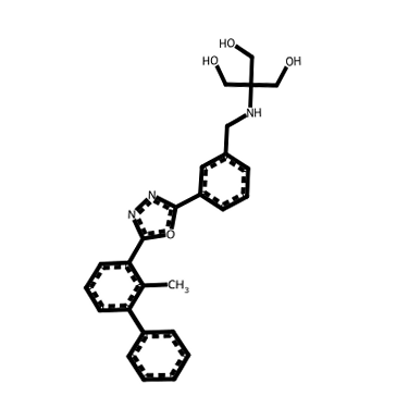 Cc1c(-c2ccccc2)cccc1-c1nnc(-c2cccc(CNC(CO)(CO)CO)c2)o1